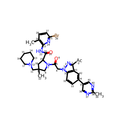 CC(=O)c1nn(CC(=O)N2CC(C)(CN3CCCCC3)CC2C(=O)Nc2nc(Br)ccc2C)c2ccc(-c3cnc(C)nc3)cc12